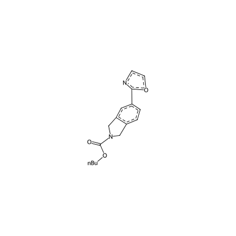 CCCCOC(=O)N1Cc2ccc(-c3ncco3)cc2C1